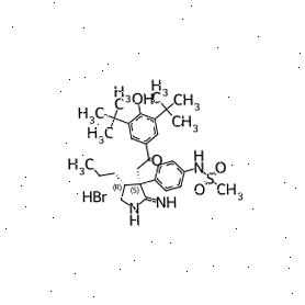 Br.CCC[C@H]1CNC(=N)[C@]1(CC(=O)c1cc(C(C)(C)C)c(O)c(C(C)(C)C)c1)c1ccc(NS(C)(=O)=O)cc1